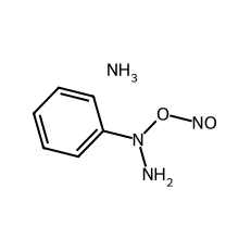 N.NN(ON=O)c1ccccc1